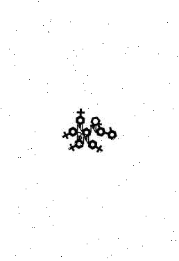 Cc1ccccc1-c1ccc2c(c1)C1(C)CCCCC1(C)N2c1cc2c3c(c1)N(c1ccc(C(C)(C)C)cc1)c1ccc(C(C)(C)C)cc1B3c1cc(C(C)(C)C)ccc1N2c1ccc(C(C)(C)C)cc1